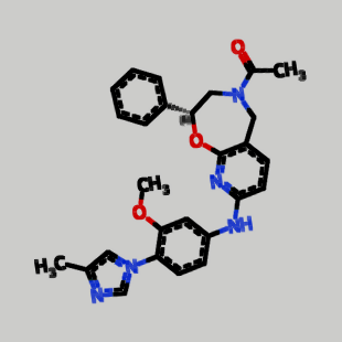 COc1cc(Nc2ccc3c(n2)O[C@H](c2ccccc2)CN(C(C)=O)C3)ccc1-n1cnc(C)c1